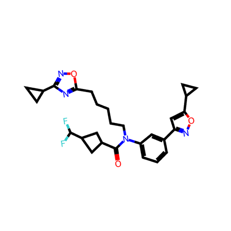 O=C(C1CC(C(F)F)C1)N(CCCCCc1nc(C2CC2)no1)c1cccc(-c2cc(C3CC3)on2)c1